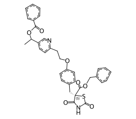 CC(OC(=O)c1ccccc1)c1ccc(CCOc2ccc(C[C@]3(C(=O)OCc4ccccc4)SC(=O)NC3=O)cc2)nc1